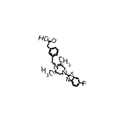 C[C@@H]1CN(c2nc3ccc(F)cc3s2)C[C@H](C)N1Cc1cccc(CC(=O)O)c1